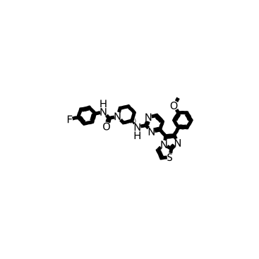 COc1cccc(-c2nc3sccn3c2-c2ccnc(N[C@@H]3CCCN(C(=O)Nc4ccc(F)cc4)C3)n2)c1